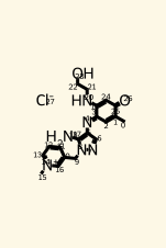 CC1=CC(=Nc2cnn(Cc3ccc[n+](C)c3)c2N)C(NCCO)=CC1=O.[Cl-]